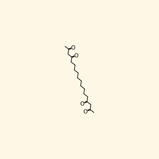 CC(=O)CC(=O)CCCCCCCCCCC(=O)CC(C)=O